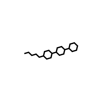 CCCCCC1CCC(C2CCC([C]3CCCCC3)CC2)CC1